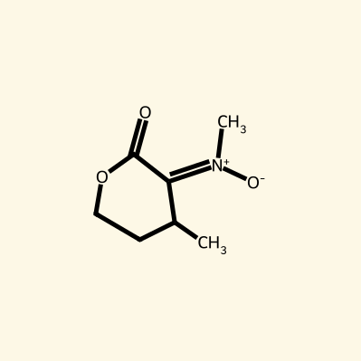 CC1CCOC(=O)C1=[N+](C)[O-]